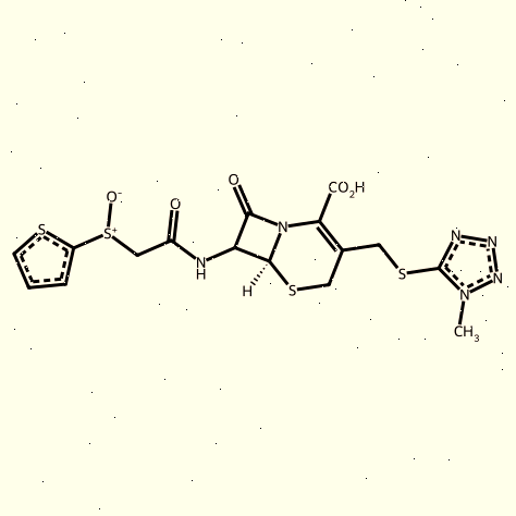 Cn1nnnc1SCC1=C(C(=O)O)N2C(=O)C(NC(=O)C[S+]([O-])c3cccs3)[C@@H]2SC1